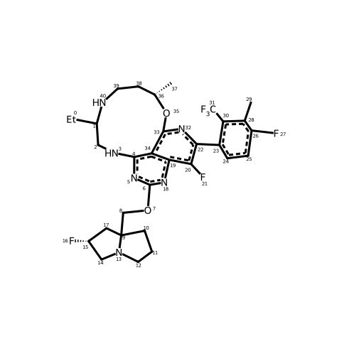 CCC1CNc2nc(OCC34CCCN3C[C@H](F)C4)nc3c(F)c(-c4ccc(F)c(C)c4C(F)(F)F)nc(c23)O[C@@H](C)CCN1